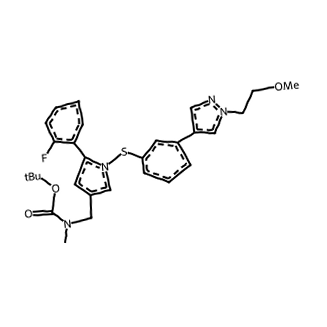 COCCn1cc(-c2cccc(Sn3cc(CN(C)C(=O)OC(C)(C)C)cc3-c3ccccc3F)c2)cn1